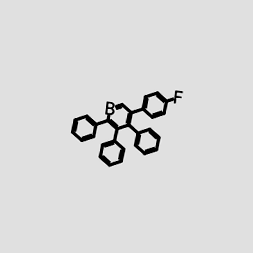 Fc1ccc(-c2cbc(-c3ccccc3)c(-c3ccccc3)c2-c2ccccc2)cc1